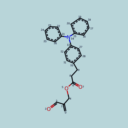 C=C(C=O)COC(=O)CCc1ccc(N(c2ccccc2)c2ccccc2)cc1